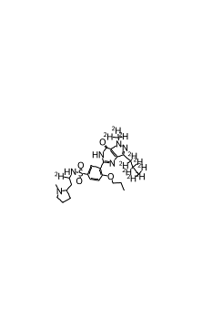 [2H]C(CC1CCCN1C)NS(=O)(=O)c1ccc(OCCC)c(-c2nc3c(C([2H])([2H])C([2H])([2H])C([2H])([2H])[2H])nn(C([2H])([2H])[2H])c3c(=O)[nH]2)c1